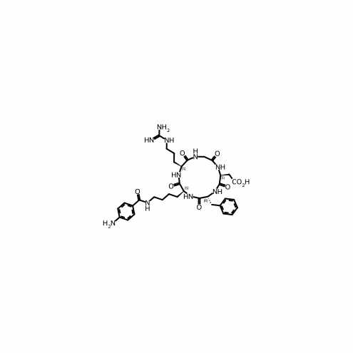 N=C(N)NCCC[C@@H]1NC(=O)[C@H](CCCCNC(=O)c2ccc(N)cc2)NC(=O)[C@@H](Cc2ccccc2)NC(=O)[C@H](CC(=O)O)NC(=O)CNC1=O